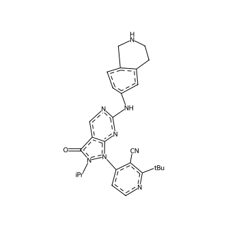 CC(C)n1c(=O)c2cnc(Nc3ccc4c(c3)CCNC4)nc2n1-c1ccnc(C(C)(C)C)c1C#N